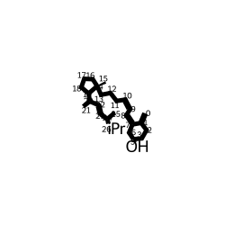 C=C1CCC(O)C/C1=C/C=C\CCC[C@@]1(C)CCCC1C(C)/C=C/C(C)C(C)C